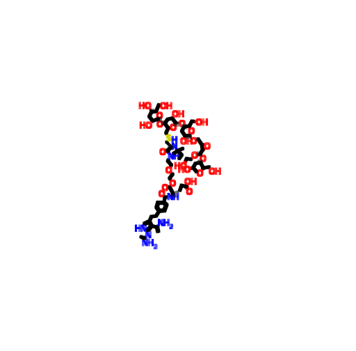 C=C(N)c1c(CCc2ccc(C(=O)N[C@@H](CCC(=O)O)C(=O)OCCOCCNC(=O)[C@@H](CSCC3O[C@@H](O[C@H]4CC(O)[C@@H](OCC5OC5[C@H](OCCO)O[C@H]5CC(O)COC5CO)OC4CO)C(O)C[C@@H]3O[C@@H]3OC(CO)[C@@H](O)CC3O)NC(C)(C)CC)cc2)c[nH]c1/N=C(\C)N